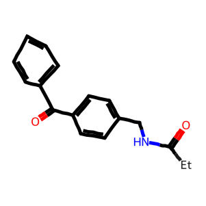 CCC(=O)NCc1ccc(C(=O)c2ccccc2)cc1